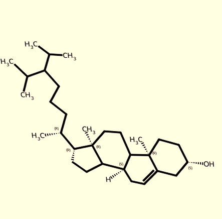 CC(C)C(CCC[C@@H](C)[C@H]1CCC2[C@@H]3CC=C4C[C@@H](O)CC[C@]4(C)C3CC[C@@]21C)C(C)C